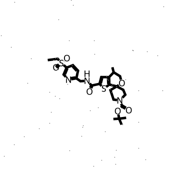 CCS(=O)(=O)c1ccc(CNC(=O)c2cc3c(s2)C2(CCN(C(=O)OC(C)(C)C)CC2)OCC3C)nc1